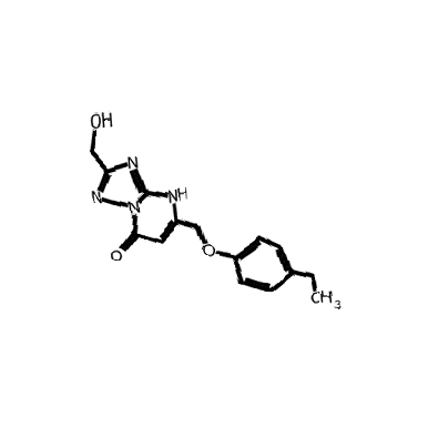 CCc1ccc(OCc2cc(=O)n3nc(CO)nc3[nH]2)cc1